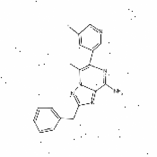 Cc1c(-c2cncc(F)c2)nc(N)c2nc(Cc3ccccc3)nn12